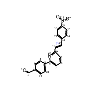 O=Cc1ccc(-c2cccc(/C=C/c3ccc([N+](=O)[O-])cc3)n2)cc1